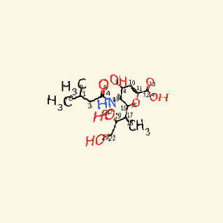 CC(C)CC(=O)N[C@@H]1C(O)C=C(C(=O)O)OC1C(C)C(O)CO